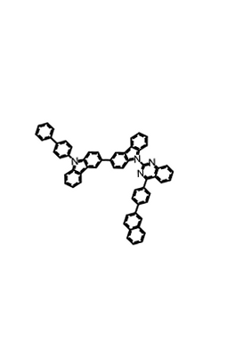 c1ccc(-c2ccc(-n3c4ccccc4c4cc(-c5ccc6c(c5)c5ccccc5n6-c5nc(-c6ccc(-c7ccc8ccccc8c7)cc6)c6ccccc6n5)ccc43)cc2)cc1